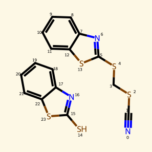 N#CSCSc1nc2ccccc2s1.Sc1nc2ccccc2s1